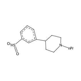 CCCN1CCC(c2cccc([SH](=O)=O)c2)CC1